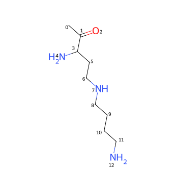 CC(=O)C(N)CCNCCCCN